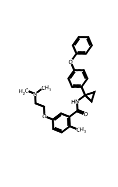 Cc1ccc(OCCN(C)C)cc1C(=O)NC1(c2ccc(Oc3ccccc3)cc2)CC1